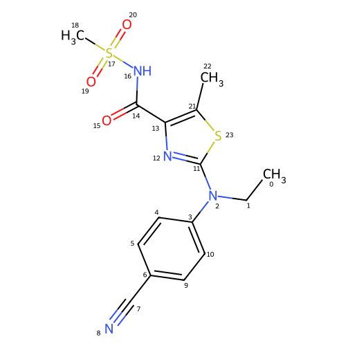 CCN(c1ccc(C#N)cc1)c1nc(C(=O)NS(C)(=O)=O)c(C)s1